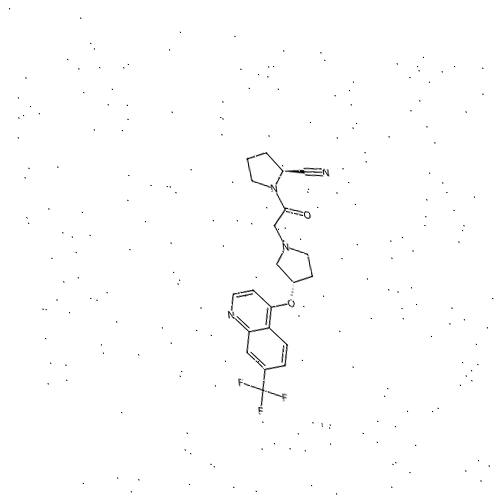 N#C[C@@H]1CCCN1C(=O)CN1CC[C@H](Oc2ccnc3cc(C(F)(F)F)ccc23)C1